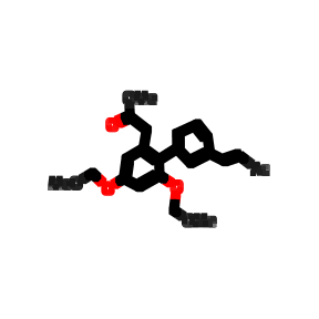 COCOc1cc(CC(=O)OC)c(-c2cccc(C=CC(C)=O)c2)c(OCOC)c1